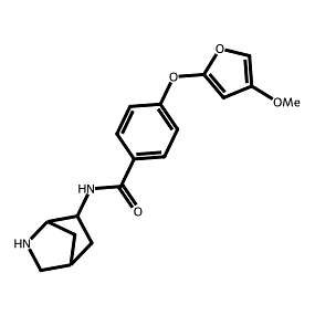 COc1coc(Oc2ccc(C(=O)NC3CC4CNC3C4)cc2)c1